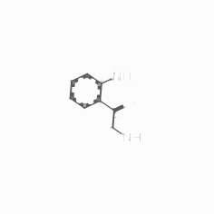 NCC(=O)c1ccccc1N